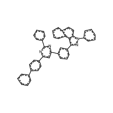 c1ccc(-c2ccc(-c3cc(-c4cccc(-c5nn(-c6ccccc6)c6ccc7ccccc7c56)c4)nc(-c4ccccc4)n3)cc2)cc1